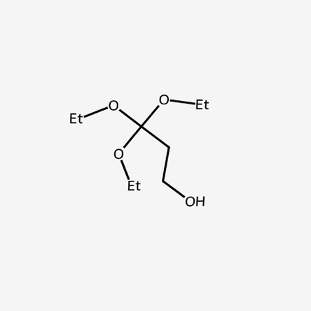 CCOC(CCO)(OCC)OCC